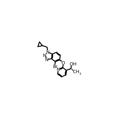 C[C@H](O)c1cccnc1Oc1ccc2c(nnn2CC2CC2)c1Br